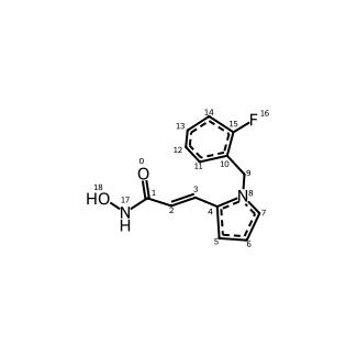 O=C(C=Cc1cccn1Cc1ccccc1F)NO